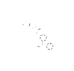 CC(NC(=O)OC(C)(C)C)C(=O)Nc1ccc2c(c1)C(C=O)c1ccccc1-2